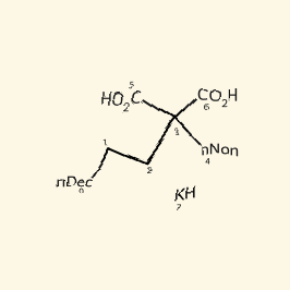 CCCCCCCCCCCCC(CCCCCCCCC)(C(=O)O)C(=O)O.[KH]